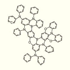 c1ccc(N(c2ccccc2)c2cc3c4c(c2)N(c2ccccc2)c2c(cc5c6c2Oc2ccccc2N6c2ccccc2O5)B4c2cc4c(cc2O3)N(c2ccccc2)c2cc(N(c3ccccc3)c3ccccc3)cc3c2B4c2ccccc2N3c2ccccc2)cc1